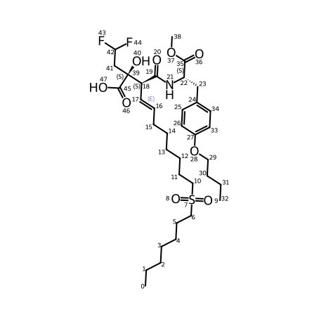 CCCCCCCS(=O)(=O)CCCCCC/C=C/[C@H](C(=O)N[C@@H](Cc1ccc(OCCCC)cc1)C(=O)OC)[C@@](O)(CC(F)F)C(=O)O